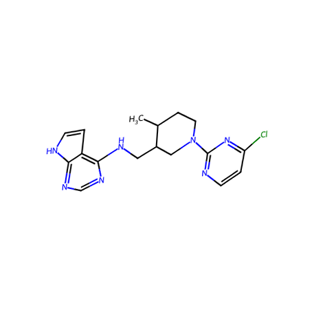 CC1CCN(c2nccc(Cl)n2)CC1CNc1ncnc2[nH]ccc12